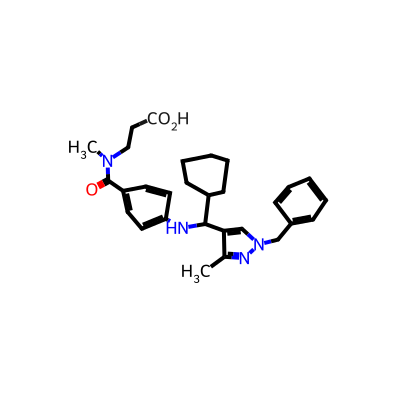 Cc1nn(Cc2ccccc2)cc1C(Nc1ccc(C(=O)N(C)CCC(=O)O)cc1)C1CCCCC1